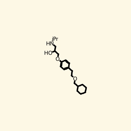 CC(C)NCC(O)COc1ccc(CCOCC2CCCCC2)cc1